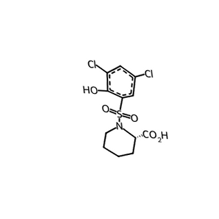 O=C(O)[C@@H]1CCCCN1S(=O)(=O)c1cc(Cl)cc(Cl)c1O